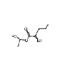 CCCC(=N)C(=O)OC(C)OC